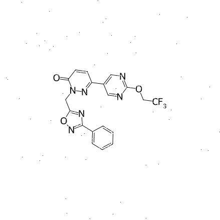 O=c1ccc(-c2cnc(OCC(F)(F)F)nc2)nn1Cc1nc(-c2ccccc2)no1